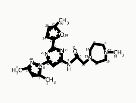 Cc1cc(C)n(-c2cc(NC(=O)CN3CCCN(C)CC3)nc(-c3ccc(C)o3)n2)n1